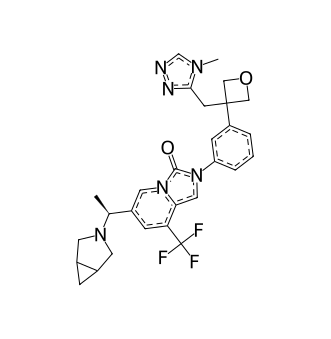 C[C@@H](c1cc(C(F)(F)F)c2cn(-c3cccc(C4(Cc5nncn5C)COC4)c3)c(=O)n2c1)N1CC2CC2C1